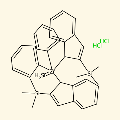 C[Si](C)(C)C1=Cc2ccccc2[CH]1[Zr](=[SiH2])([c]1ccccc1)([c]1ccccc1)[CH]1C([Si](C)(C)C)=Cc2ccccc21.Cl.Cl